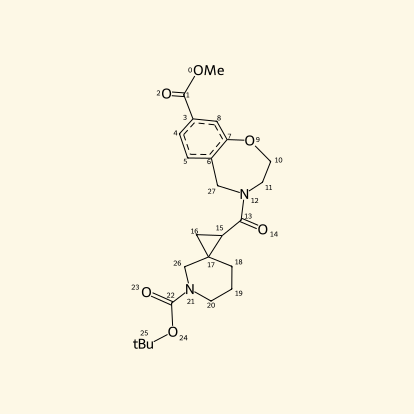 COC(=O)c1ccc2c(c1)OCCN(C(=O)C1CC13CCCN(C(=O)OC(C)(C)C)C3)C2